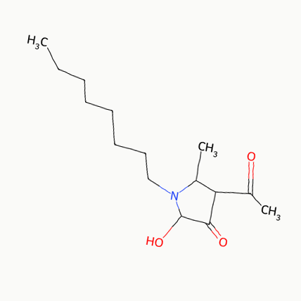 CCCCCCCCN1C(O)C(=O)C(C(C)=O)C1C